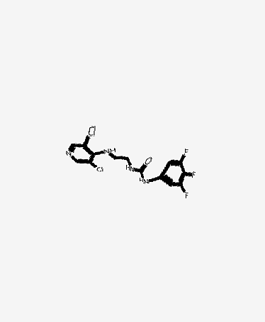 O=C(NCCNc1c(Cl)cncc1Cl)Nc1cc(F)c(F)c(F)c1